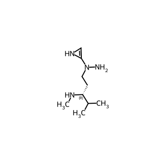 CN[C@H](CCN(N)C1=CN1)C(C)C